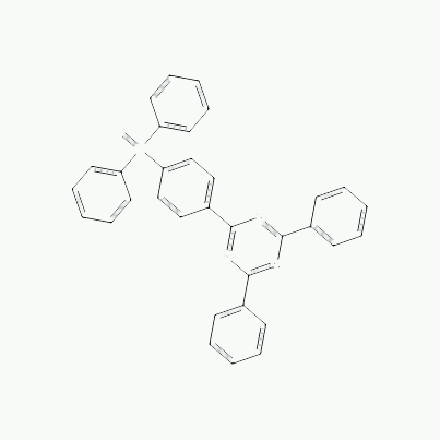 O=P(c1ccccc1)(c1ccccc1)c1ccc(-c2nc(-c3ccccc3)nc(-c3ccccc3)n2)cc1